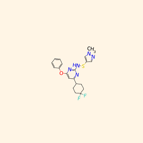 Cn1cc(SNc2nc(Oc3ccccc3)cc(C3CCC(F)(F)CC3)n2)cn1